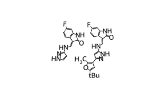 Cc1oc(C(C)(C)C)cc1-c1cc(N/C=C2/C(=O)Nc3cc(F)ccc32)[nH]n1.O=C1Nc2cc(F)ccc2/C1=C\Nc1cc[nH]n1